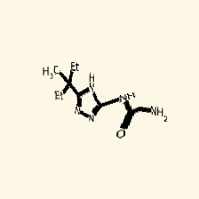 CCC(C)(CC)c1nnc(NC(N)=O)[nH]1